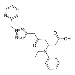 CCN(c1ccccc1)C(CC(=O)O)CC(=O)Cc1cnn(Cc2ccccn2)c1